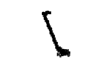 CC(C)(C)OC(=O)CCOCCOCCOCCOCCOCCOCCOCCOCCOc1ccc(B2OC(C)(C)C(C)(C)O2)cc1